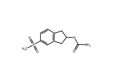 CS(=O)(=O)c1ccc2c(c1)CC(OC(N)=O)C2